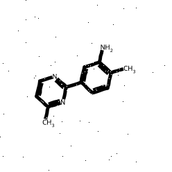 Cc1ccnc(-c2ccc(C)c(N)c2)n1